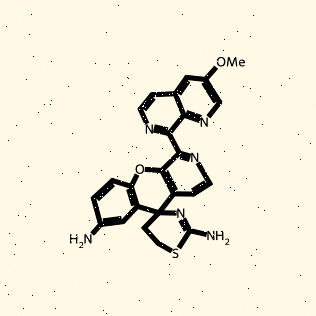 COc1cnc2c(-c3nccc4c3Oc3ccc(N)cc3C43CCSC(N)=N3)nccc2c1